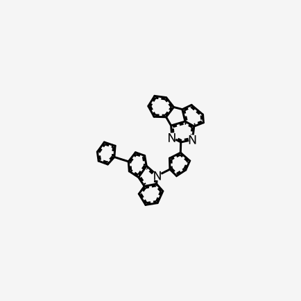 c1ccc(-c2ccc3c(c2)c2ccccc2n3-c2cccc(-c3nc4c5c(cccc5n3)-c3ccccc3-4)c2)cc1